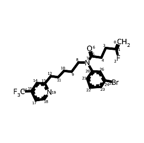 C=C(F)CCC(=O)N(CCCCCc1cc(C(F)(F)F)ccn1)c1cccc(Br)c1